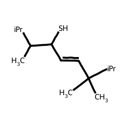 CC(C)C(C)C(S)C=CC(C)(C)C(C)C